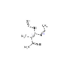 C/C=N\C(NC=N)=C(\C)C(=N)N